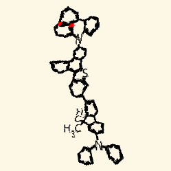 CC1(C)c2cc(-c3ccc4c(c3)sc3c5ccc(N(c6ccccc6)c6ccccc6-c6ccccc6)cc5c5ccccc5c43)ccc2-c2ccc(N(c3ccccc3)c3ccccc3)cc21